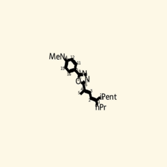 CCC/C(=C/C=C(\C)c1nnc(-c2ccc(NC)cc2)o1)C(C)CCC